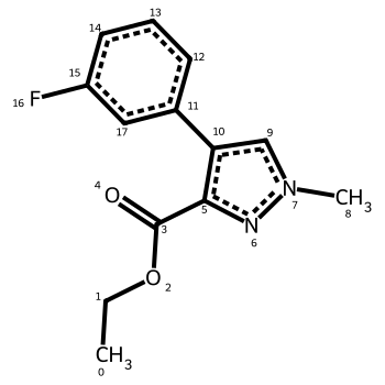 CCOC(=O)c1nn(C)cc1-c1cccc(F)c1